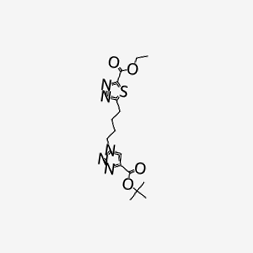 CCOC(=O)c1nnc(CCCCn2cc(C(=O)OC(C)(C)C)nn2)s1